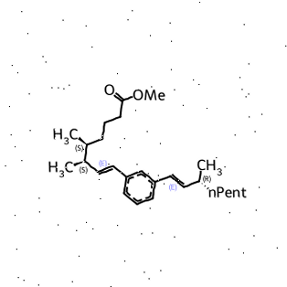 CCCCC[C@@H](C)/C=C/c1cccc(/C=C/[C@@H](C)[C@@H](C)CCCC(=O)OC)c1